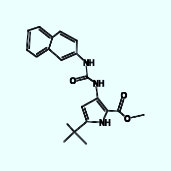 COC(=O)c1[nH]c(C(C)(C)C)cc1NC(=O)Nc1ccc2ccccc2c1